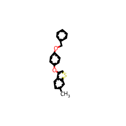 Cc1ccc2c(Oc3ccc(OCc4ccccc4)cc3)csc2c1